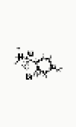 CN(C)S(=O)(=O)c1ccc(F)cc1Br